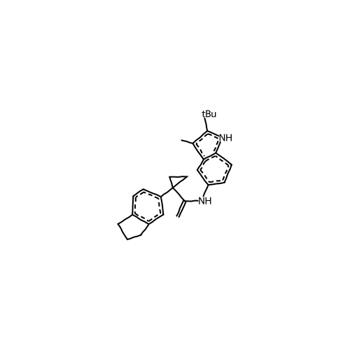 C=C(Nc1ccc2[nH]c(C(C)(C)C)c(C)c2c1)C1(c2ccc3c(c2)CCC3)CC1